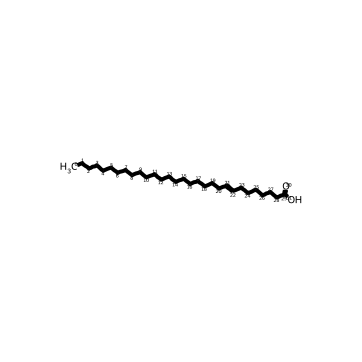 CCCCCCCCCCCCCCCCCCCCCC=CCCCCCCC(=O)O